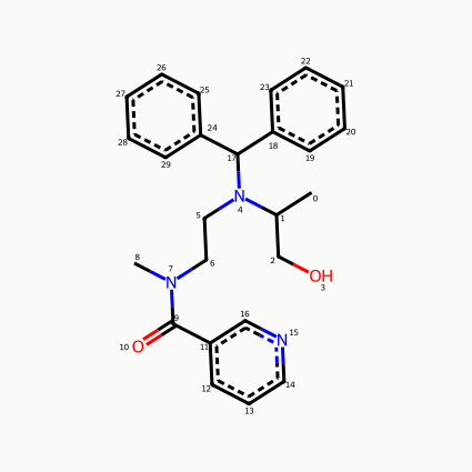 CC(CO)N(CCN(C)C(=O)c1cccnc1)C(c1ccccc1)c1ccccc1